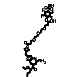 CCCN(OCC)C(=O)C1=Cc2sc(CC3CN(C(=O)CCOCCOCCOCCC(O)Oc4c(F)c(F)c(S(=O)(=O)O)c(F)c4F)C3)cc2N=C(N)C1